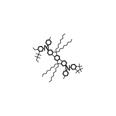 CCCCCCCCC1(CCCCCCCC)c2cc(N(c3ccc(C)cc3)c3ccc(CC)c(C(C)(C)C(C)(C)CC)c3)ccc2-c2cc3c(cc21)-c1ccc(N(c2ccc(C)cc2)c2ccc4c(c2)C(C)(C)C(C)(C)C4(C)C)cc1C3(CCCCCCCC)CCCCCCCC